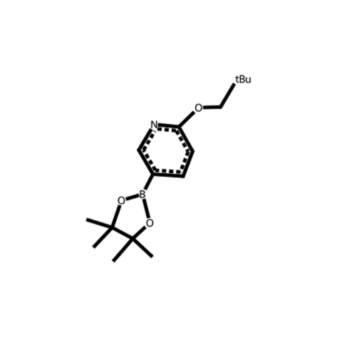 CC(C)(C)COc1ccc(B2OC(C)(C)C(C)(C)O2)cn1